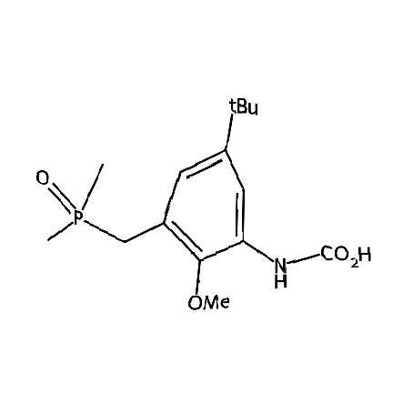 COc1c(CP(C)(C)=O)cc(C(C)(C)C)cc1NC(=O)O